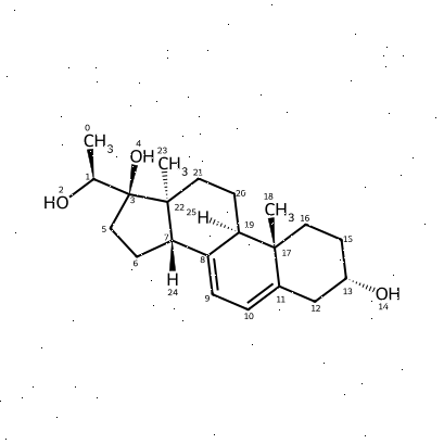 C[C@H](O)[C@@]1(O)CC[C@H]2C3=CC=C4C[C@@H](O)CC[C@@]4(C)[C@@H]3CC[C@@]21C